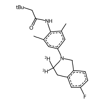 [2H]C1([2H])Cc2cc(F)ccc2CN1c1cc(C)c(NC(=O)CC(C)(C)C)c(C)c1